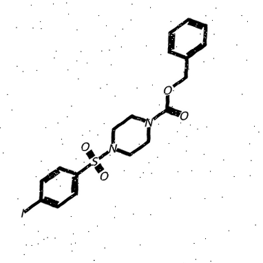 O=C(OCc1ccccc1)N1CCN(S(=O)(=O)c2ccc(I)cc2)CC1